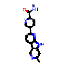 CNC(=O)c1ccc(-c2ccc3c(n2)[nH]c2cc(C)ncc23)cn1